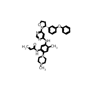 C=CC(=O)Nc1cc(Nc2cc(N3OCC[C@@H]3c3cccc(Oc4ccccc4)c3)ncn2)c(C)cc1N1CCN(C)CC1